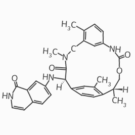 Cc1ccc2cc1CN(C)C(=O)[C@H](Nc1ccc3cc[nH]c(=O)c3c1)c1ccc(c(C)c1)[C@@H](C)COC(=O)N2